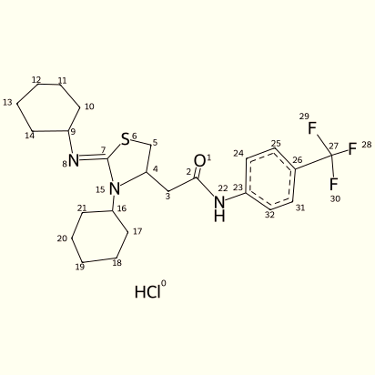 Cl.O=C(CC1CS/C(=N\C2CCCCC2)N1C1CCCCC1)Nc1ccc(C(F)(F)F)cc1